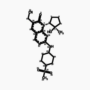 C[C@@]1(O)CCC[C@H]1n1c(=O)c(CC#N)cc2cnc(NC3CCN(S(C)(=O)=O)CC3)nc21